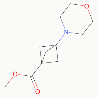 COC(=O)C12CC(N3CCOCC3)(C1)C2